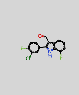 O=Cc1c(-c2ccc(F)c(Cl)c2)[nH]c2c(F)cccc12